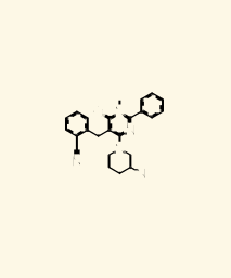 Cn1c(-c2ccccc2)nc(N2CCCC(N)C2)c(Cc2ccccc2C#N)c1=O